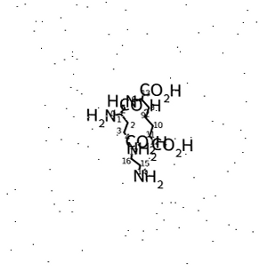 NC(CCC(=O)O)C(=O)O.NC(CCCCC(=O)O)C(=O)O.NCCN